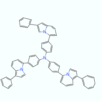 C1=CCC=CC(c2ccn3c(-c4ccc(N(c5ccc(-c6cccc7cc(-c8ccccc8)cn67)cc5)c5ccc(-c6cccc7c(-c8ccccc8)ccn67)cc5)cc4)cccc23)=C1